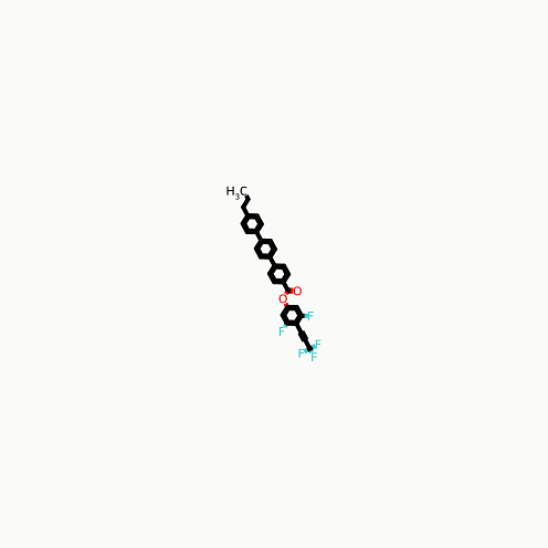 CCCc1ccc(-c2ccc(-c3ccc(C(=O)Oc4cc(F)c(C#CC(F)(F)F)c(F)c4)cc3)cc2)cc1